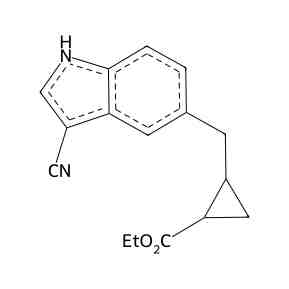 CCOC(=O)C1CC1Cc1ccc2[nH]cc(C#N)c2c1